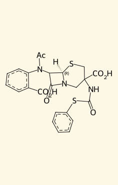 CC(=O)N(c1ccccc1C(=O)O)C1C(=O)N2CC(NC(=O)Sc3ccccc3)(C(=O)O)CS[C@H]12